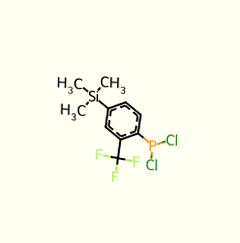 C[Si](C)(C)c1ccc(P(Cl)Cl)c(C(F)(F)F)c1